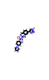 Cn1cc(-c2ccc3cnc(NC(=O)[C@H]4CC[C@H](N5CCCC5)CC4)nc3c2)nn1